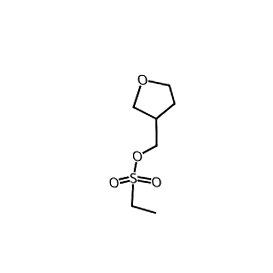 CCS(=O)(=O)OCC1CCOC1